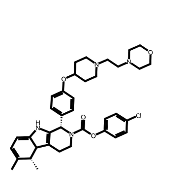 CC1=CC=C2NC3=C(CCN(C(=O)Oc4ccc(Cl)cc4)[C@H]3c3ccc(OC4CCN(CCN5CCOCC5)CC4)cc3)C2[C@@H]1C